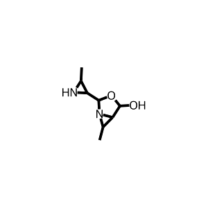 CC1NC1C1OC(O)C2C(C)N12